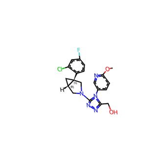 COc1ccc(-n2c(CO)nnc2N2C[C@@H]3C[C@]3(c3ccc(F)cc3Cl)C2)cn1